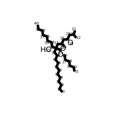 CCCCCCCCCCCCC(CC(C)CC(=O)CC(C)C)(C(=O)OCCCCCC)C(O)CCCCCCC